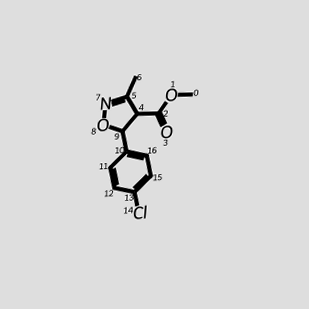 COC(=O)C1C(C)=NOC1c1ccc(Cl)cc1